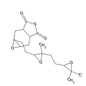 CC1(C)OC1CCC1(C)OC1CCC12CC3C(=O)OC(=O)C3CC1O2